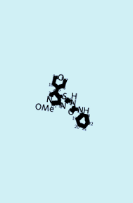 COc1ncc(C2=CCOCC2)c2sc(NC(=O)Nc3ccccc3)nc12